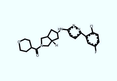 O=C(C1CCOCC1)N1CC2C[C@@H](Nc3ccc(-c4cc(F)ccc4Cl)nn3)C[C@@H]2C1